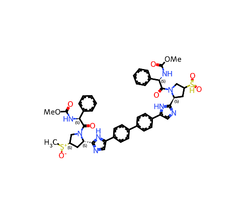 COC(=O)N[C@H](C(=O)N1CC([SH](=O)=O)C[C@H]1c1ncc(-c2ccc(-c3ccc(-c4cnc([C@@H]5C[C@H]([S+](C)[O-])CN5C(=O)[C@@H](NC(=O)OC)c5ccccc5)[nH]4)cc3)cc2)[nH]1)c1ccccc1